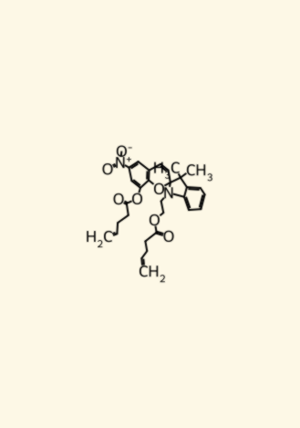 C=CCCC(=O)OCCN1c2ccccc2C(C)(C)C12C=Cc1cc([N+](=O)[O-])cc(OC(=O)CCC=C)c1O2